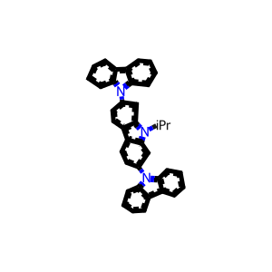 CC(C)n1c2cc(-n3c4ccccc4c4ccccc43)ccc2c2ccc(-n3c4ccccc4c4ccccc43)cc21